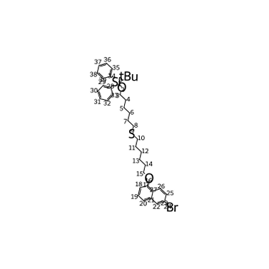 CC(C)(C)[Si](OCCCCCCSCCCCCCOc1cccc2cc(Br)ccc12)(c1ccccc1)c1ccccc1